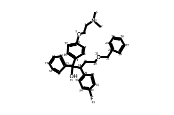 CN(C)CCOc1ccc(C(O)(c2ccccc2)C(CCOCc2ccccc2)c2ccc(F)cc2)cc1